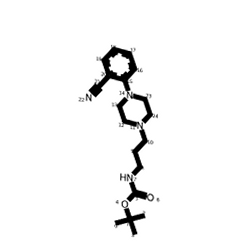 CC(C)(C)OC(=O)NCCCN1CCN(c2ccccc2C#N)CC1